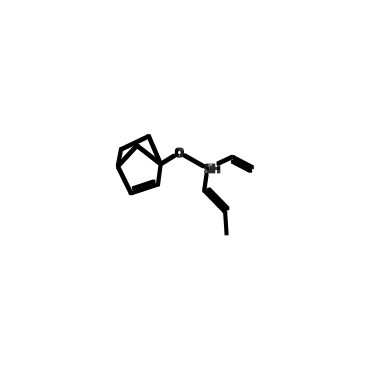 C=C[SiH](C=CC)OC12C=CC(CC1)C2